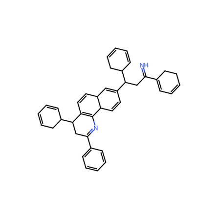 N=C(CC(C1=CC2C=CC3=C(N=C(c4ccccc4)CC3C3C=CC=CC3)C2C=C1)C1C=CC=CC1)C1=CC=CCC1